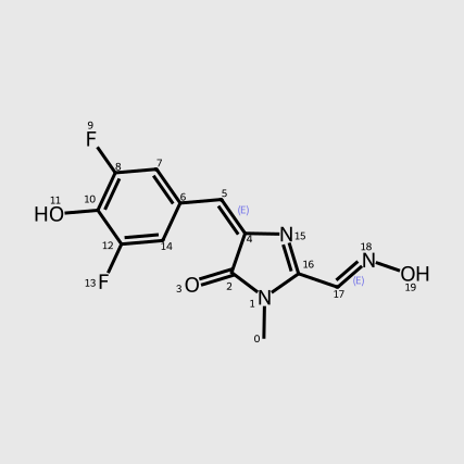 CN1C(=O)/C(=C\c2cc(F)c(O)c(F)c2)N=C1/C=N/O